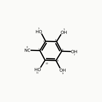 N#Cc1c(O)c(O)c(O)c(O)c1O